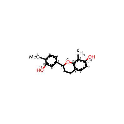 COc1ccc(C2CCc3ccc(O)c(C)c3O2)cc1O